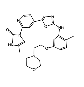 Cc1cn(-c2cc(-c3cnc(Nc4cc(OCCN5CCOCC5)ccc4C)o3)ccn2)c(=O)[nH]1